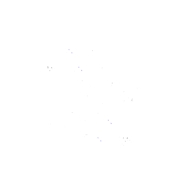 CSc1nccc(CC(C#C[Si](C)(C)C)C(=O)C(C#C[Si](C)(C)C)Cc2ccnc(SC)n2)n1